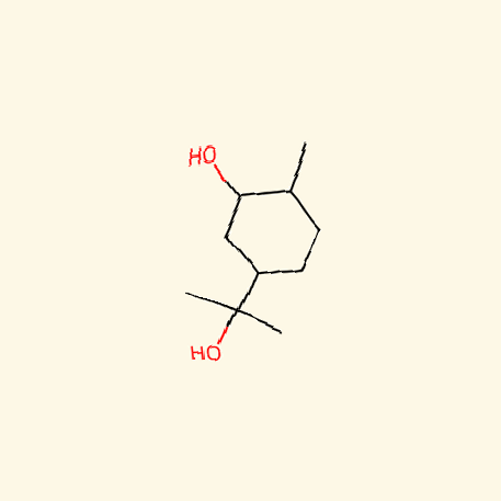 CC1CCC(C(C)(C)O)CC1O